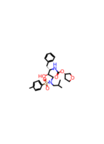 Cc1ccc(S(=O)(=O)N(CC(C)C)C[C@@H](O)[C@H](Cc2ccccc2)NC(=O)O[C@H]2CCOC2)cc1